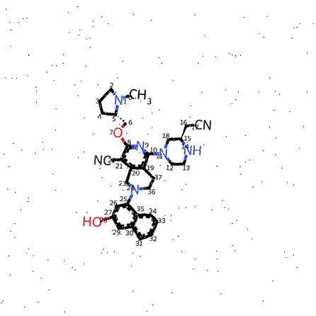 CN1CCC[C@H]1COc1nc(N2CCN[C@H](CC#N)C2)c2c(c1C#N)CN(c1cc(O)cc3ccccc13)CC2